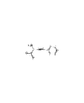 NC(C#Cc1ccccc1)[N+](=O)[O-]